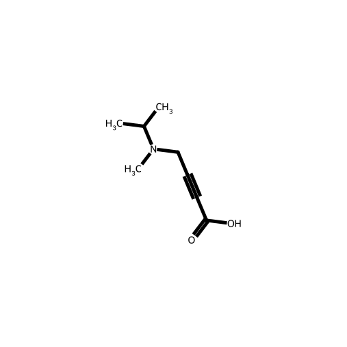 CC(C)N(C)CC#CC(=O)O